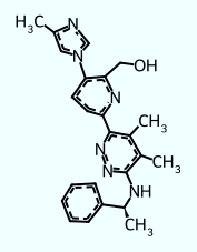 Cc1cn(-c2ccc(-c3nnc(N[C@@H](C)c4ccccc4)c(C)c3C)nc2CO)cn1